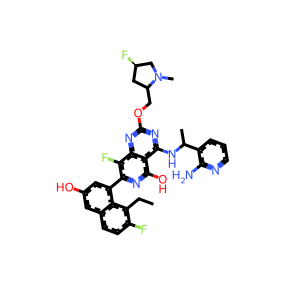 CCc1c(F)ccc2cc(O)cc(-c3nc(O)c4c(NC(C)c5cccnc5N)nc(OCC5C[C@@H](F)CN5C)nc4c3F)c12